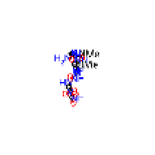 CNC(=O)c1nnc(C2(C(N)=O)CC2)cc1Nc1cccc(-c2ncn(CCNC(=O)CNc3ccc4c(c3)C(=O)N(C3CCC(=O)NC3=O)C4=O)n2)c1OC